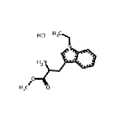 CCn1cc(CC(N)C(=O)OC)c2ccccc21.Cl